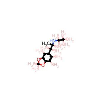 Bc1c(B)c(C(B)(B)C(B)(C)NC(B)(B)C(B)(B)B)c(B)c2c1OC(B)(B)O2